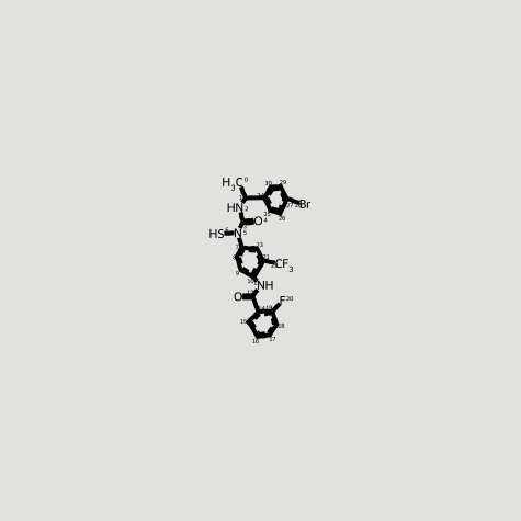 CC(NC(=O)N(S)c1ccc(NC(=O)c2ccccc2F)c(C(F)(F)F)c1)c1ccc(Br)cc1